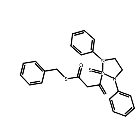 C=C(CC(=O)SCc1ccccc1)P1(=S)N(c2ccccc2)CCN1c1ccccc1